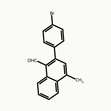 Cc1cc(-c2ccc(Br)cc2)c(C=O)c2ccccc12